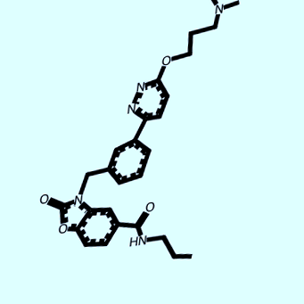 CCCNC(=O)c1ccc2oc(=O)n(Cc3cccc(-c4ccc(OCCCN(C)C)nn4)c3)c2c1